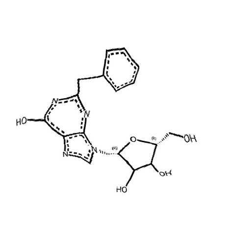 OC[C@H]1O[C@@H](n2cnc3c(O)nc(Cc4ccccc4)nc32)C(O)C1O